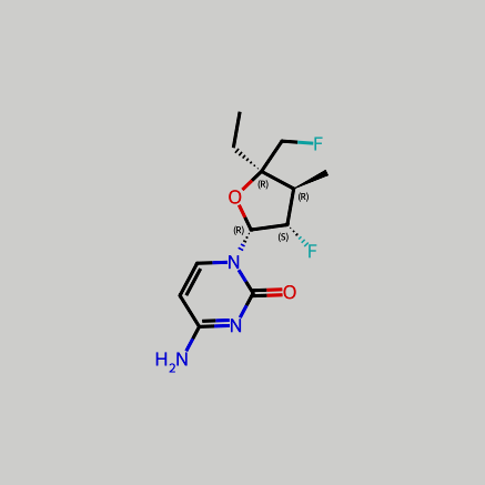 CC[C@@]1(CF)O[C@@H](n2ccc(N)nc2=O)[C@@H](F)[C@@H]1C